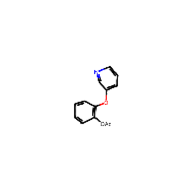 CC(=O)Oc1[c]cccc1Oc1cccnc1